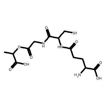 CC(OC(=O)CNC(=O)C(CS)NC(=O)CCC(N)C(=O)O)C(=O)O